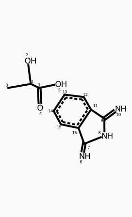 CC(O)C(=O)O.N=C1NC(=N)c2ccccc21